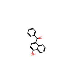 O=C(c1ccccc1)c1ccc(O)c2ccccc12